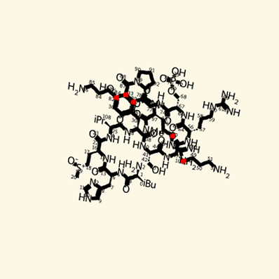 CC[C@H](C)[C@H](N)C(=O)N[C@@H](Cc1c[nH]cn1)C(=O)N[C@@H](CC[S+](C)[O-])C(=O)N[C@H](C(=O)N[C@@H](Cc1ccc(O)cc1)C(=O)N[C@@H](CO)C(=O)N[C@@H](CCCCN)C(=O)N[C@@H](CCCNC(=N)N)C(=O)N[C@@H](COP(=O)(O)O)C(=O)NCC(=O)N[C@@H](CCCCN)C(=O)N1CCC[C@H]1C(=O)N[C@@H](CCCNC(=N)N)C(=O)NC)C(C)C